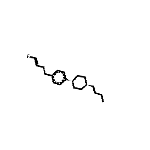 CCCC[C@H]1CC[C@H](c2ccc(CC/C=C/F)cc2)CC1